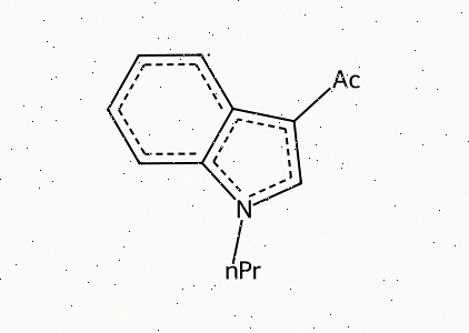 CCCn1cc(C(C)=O)c2[c]cccc21